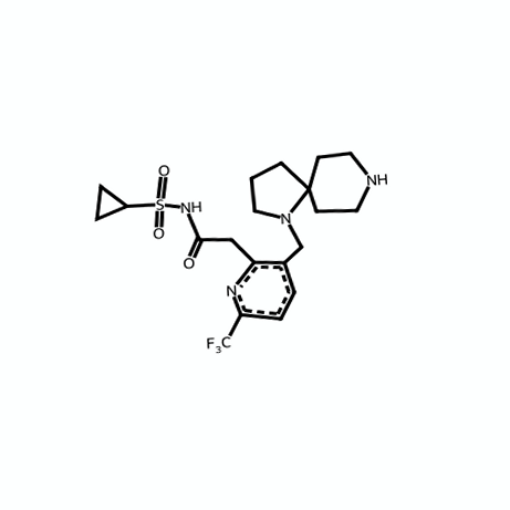 O=C(Cc1nc(C(F)(F)F)ccc1CN1CCCC12CCNCC2)NS(=O)(=O)C1CC1